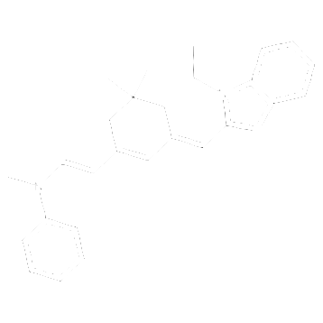 CC[n+]1c(/C=C2C=C(/C=C/N(C)c3ccccc3)CC(C)(C)C/2)sc2ccccc21